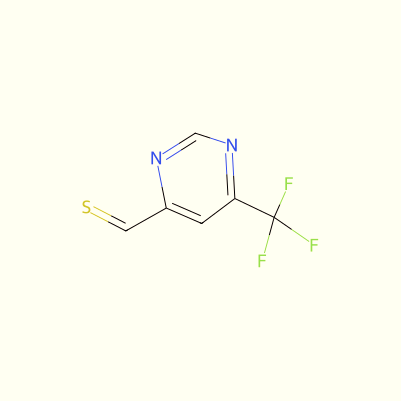 FC(F)(F)c1cc(C=S)ncn1